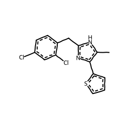 Cc1[nH]c(Cc2ccc(Cl)cc2Cl)nc1-c1cccs1